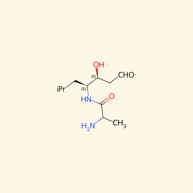 CC(C)C[C@H](NC(=O)C(C)N)[C@@H](O)C[C]=O